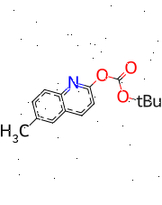 Cc1ccc2nc(OC(=O)OC(C)(C)C)ccc2c1